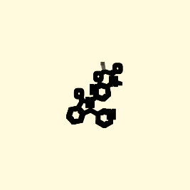 C[C@H]1Oc2nc(N3C(=O)c4ccccc4C3c3cccnc3)ccc2N(C)C1=O